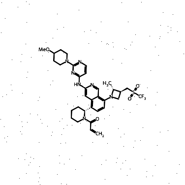 C=CC(=O)N1CCCC[C@@H]1c1ccc(N2C[C@H](CS(=O)(=O)C(F)(F)F)[C@H]2C)c2cnc(Nc3ccnc(N4CCC(OC)CC4)n3)cc12